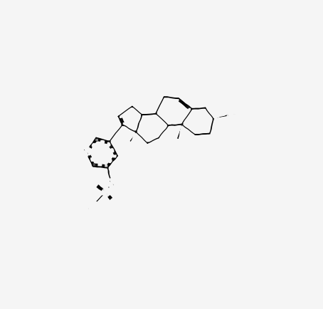 C[C@]12CC[C@H](O)CC1=CCC1C2CC[C@]2(C)C(c3cncc(NS(=O)(=O)C(F)(F)F)c3)=CCC12